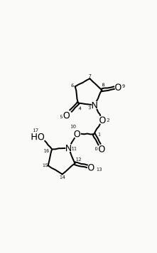 O=C(ON1C(=O)CCC1=O)ON1C(=O)CCC1O